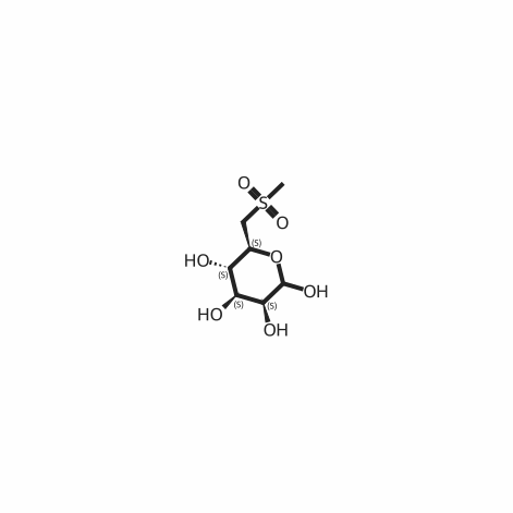 CS(=O)(=O)C[C@H]1OC(O)[C@@H](O)[C@@H](O)[C@@H]1O